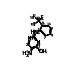 Nc1cnc(Nc2ccccc2C(F)(F)F)nc1O